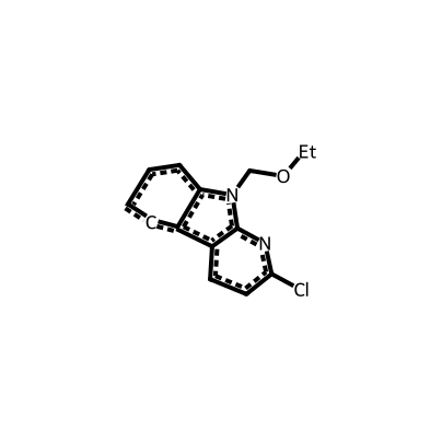 CCOCn1c2ccccc2c2ccc(Cl)nc21